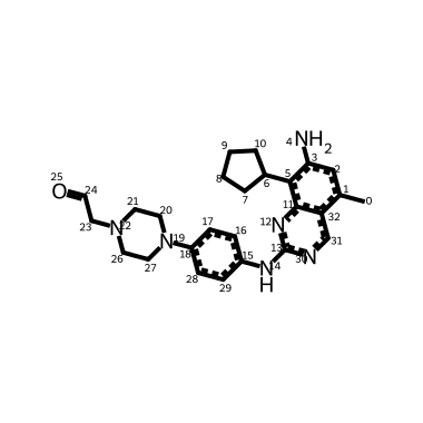 Cc1cc(N)c(C2CCCC2)c2nc(Nc3ccc(N4CCN(CC=O)CC4)cc3)ncc12